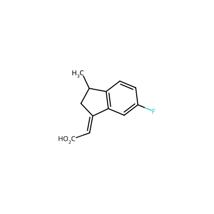 CC1CC(=CC(=O)O)c2cc(F)ccc21